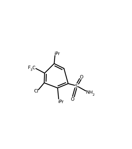 CC(C)c1cc(S(N)(=O)=O)c(C(C)C)c(Cl)c1C(F)(F)F